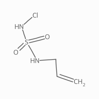 C=CCNS(=O)(=O)NCl